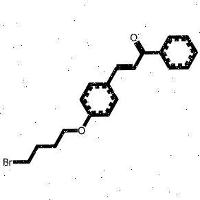 O=C(C=Cc1ccc(OCCCCBr)cc1)c1ccccc1